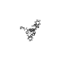 CC(C)CCC(=O)N[C@@H](CC(=O)N1CCCC[C@@H]1C)C(=O)NCc1nc2ccccc2n1C